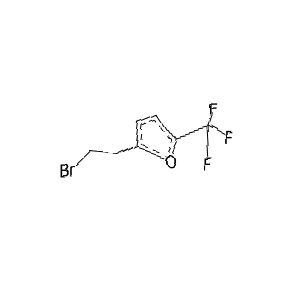 FC(F)(F)c1ccc(CCBr)o1